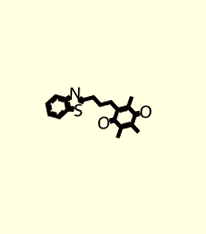 CC1=C(C)C(=O)C(CCCc2nc3ccccc3s2)=C(C)C1=O